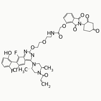 C=CC(=O)N1C[C@H](C)N(c2nc(OCCOCCNC(=O)COc3cccc4c3C(=O)N(C3CCC(=O)CC3=O)C4=O)nc3c(F)c(-c4c(O)cccc4F)c(Cl)cc23)C[C@H]1C